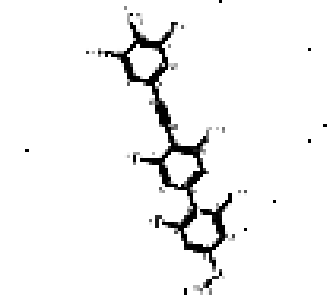 CCCOc1cc(F)c(-c2cc(F)c(C#Cc3cc(F)c(C#N)c(F)c3)c(F)c2)c(F)c1